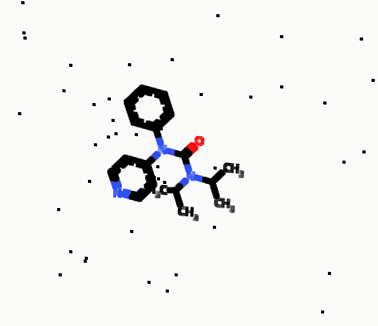 CC(C)N(C(=O)N(c1ccccc1)c1ccncc1)C(C)C